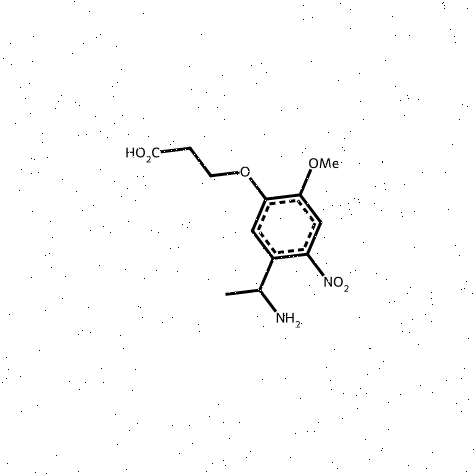 COc1cc([N+](=O)[O-])c(C(C)N)cc1OCCC(=O)O